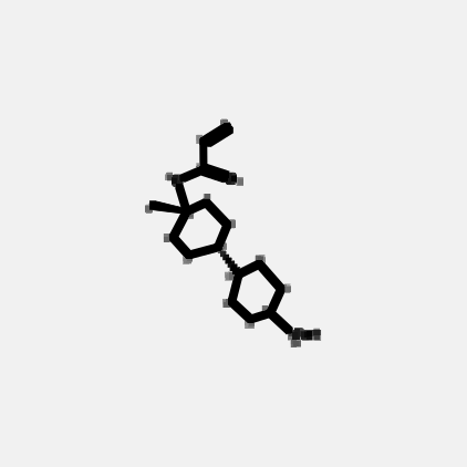 C=CC(=O)O[C@]1(C)CC[C@H](C2CCC(CCCCC)CC2)CC1